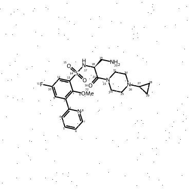 COc1c(-c2ccccn2)cc(F)cc1S(=O)(=O)N[C@@H](CN)C(=O)N1CCN(C2CC2)CC1